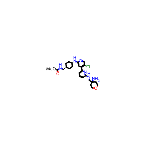 COC(=O)NC[C@H]1CC[C@H](Nc2cc(-c3cccc(NCC4(N)CCOCC4)n3)c(Cl)cn2)CC1